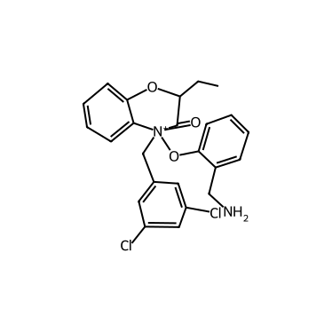 CCC1Oc2ccccc2[N+](Cc2cc(Cl)cc(Cl)c2)(Oc2ccccc2CN)C1=O